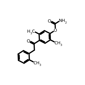 Cc1ccccc1CC(=O)c1cc(C)c(OC(N)=O)cc1C